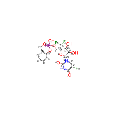 O=c1[nH]c(=O)n([C@@H]2O[C@@](CO[PH]3(O)OCc4ccccc4O3)(C(F)F)[C@@H](O)[C@H]2O)cc1F